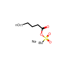 CCCCCCCCCCCC(=O)OS(=O)(=O)C(C)CC.[Na]